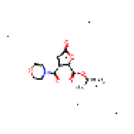 CC(C)OC(=O)[C@@H]1OC(=O)C[C@@H]1C(=O)N1CCOCC1